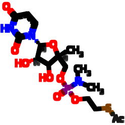 CC(=O)SCCOP(=O)(OC[C@@]1(C)O[C@@H](n2ccc(=O)[nH]c2=O)[C@@H](O)C1O)N(C)C